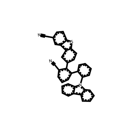 N#Cc1ccc2sc3ccc(-c4c(C#N)cccc4-c4ccccc4-n4c5ccccc5c5ccccc54)cc3c2c1